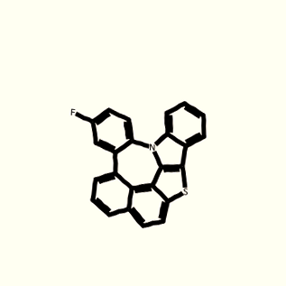 Fc1ccc2c(c1)c1cccc3ccc4sc5c6ccccc6n2c5c4c31